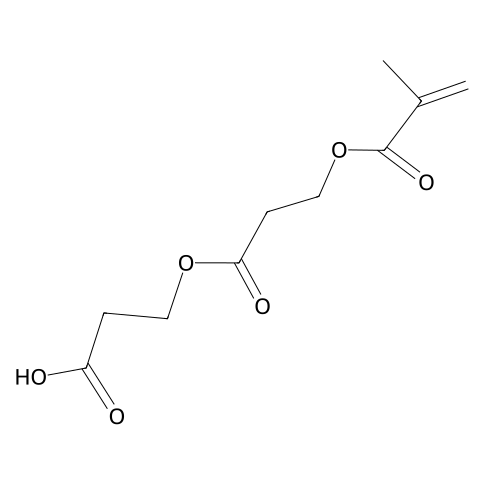 C=C(C)C(=O)OCCC(=O)OCCC(=O)O